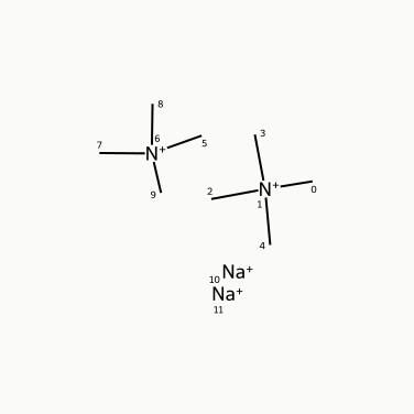 C[N+](C)(C)C.C[N+](C)(C)C.[Na+].[Na+]